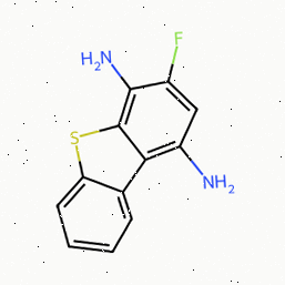 Nc1c(F)cc(N)c2c1sc1ccccc12